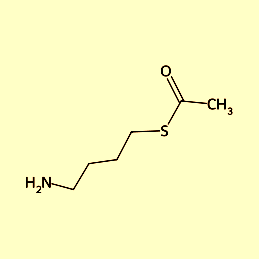 CC(=O)SCCCCN